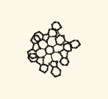 c1ccc(-c2cc(-c3c(-n4c5ccccc5c5ccccc54)c(-c4nc5ccccc5s4)c(-n4c5ccccc5c5ccccc54)c(-n4c5ccccc5c5ccccc54)c3-n3c4ccccc4c4ccccc43)cc(-c3ccccc3)n2)cc1